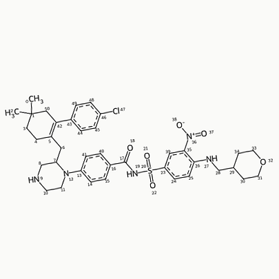 CC1(C)CCC(CC2CNCCN2c2ccc(C(=O)NS(=O)(=O)c3ccc(NCC4CCOCC4)c([N+](=O)[O-])c3)cc2)=C(c2ccc(Cl)cc2)C1